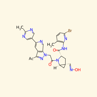 CC(=O)c1nn(CC(=O)N2[C@H](C(=O)Nc3nc(Br)ccc3C)C[C@@]3(/C=N/O)C[C@@H]23)c2cnc(-c3cnc(C)nc3)cc12